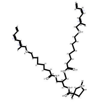 C=C/C=C\C=C(/C)COCCCCCCCC(=O)OCC(COC(=O)CCCCCCCOC/C(C)=C/C=C\C=C)COC(=O)C1(C)CCN(C)C1